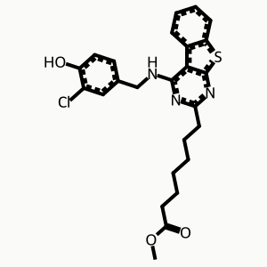 COC(=O)CCCCCCc1nc(NCc2ccc(O)c(Cl)c2)c2c(n1)sc1ccccc12